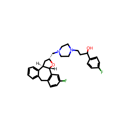 OC(CCN1CCN(C[C@H]2C[C@@H]3c4ccccc4Cc4ccc(F)cc4[C@H]3O2)CC1)c1ccc(F)cc1